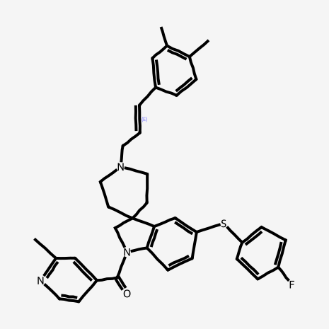 Cc1cc(C(=O)N2CC3(CCN(C/C=C/c4ccc(C)c(C)c4)CC3)c3cc(Sc4ccc(F)cc4)ccc32)ccn1